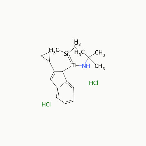 C[Si](C)=[Ti]([NH]C(C)(C)C)[CH]1C(C2CC2)=Cc2ccccc21.Cl.Cl